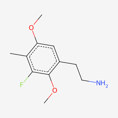 COc1cc(CCN)c(OC)c(F)c1C